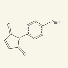 CCCC(C)c1ccc(N2C(=O)C=CC2=O)cc1